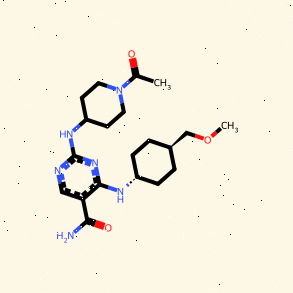 COC[C@H]1CC[C@H](Nc2nc(NC3CCN(C(C)=O)CC3)ncc2C(N)=O)CC1